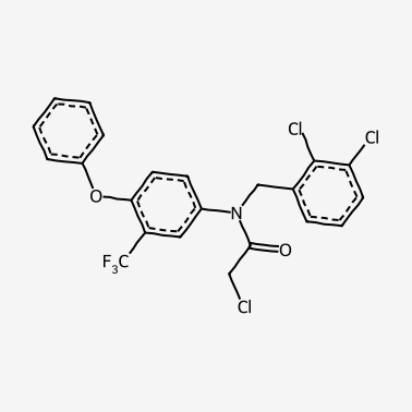 O=C(CCl)N(Cc1cccc(Cl)c1Cl)c1ccc(Oc2ccccc2)c(C(F)(F)F)c1